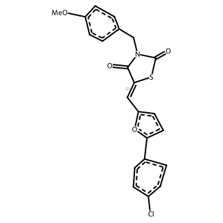 COc1ccc(CN2C(=O)S/C(=C\c3ccc(-c4ccc(Cl)cc4)o3)C2=O)cc1